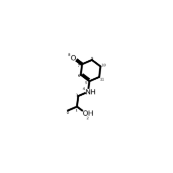 CC(O)CNC1=CC(=O)CCC1